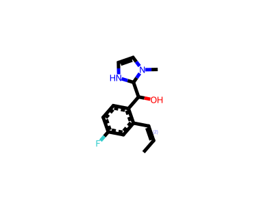 C/C=C\c1cc(F)ccc1C(O)C1NC=CN1C